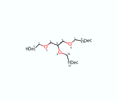 CCCCCCCCCCCOCC(COCCCCCCCCCCC)OCCCCCCCCCCC